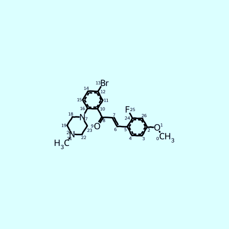 COc1ccc(C=CC(=O)c2cc(Br)ccc2N2CCN(C)CC2)c(F)c1